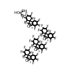 FC1=C(F)C(F)C(c2c(F)c(F)c(F)c(F)c2F)(C(F)(F)C(F)(F)F)C(F)=C1F.FC1=C(F)C(F)C(c2c(F)c(F)c(F)c(F)c2F)(C(F)(F)C(F)(F)F)C(F)=C1F.FC1=C(F)C(F)C(c2c(F)c(F)c(F)c(F)c2F)(C(F)(F)C(F)(F)F)C(F)=C1F.FC1=C(F)C(F)C(c2c(F)c(F)c(F)c(F)c2F)(C(F)(F)C(F)(F)F)C(F)=C1F.OB(O)O